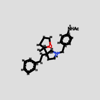 CC(=O)Nc1ccc(CN2CCC(CCc3ccccc3)(C3(C)CCCO3)C2)cc1